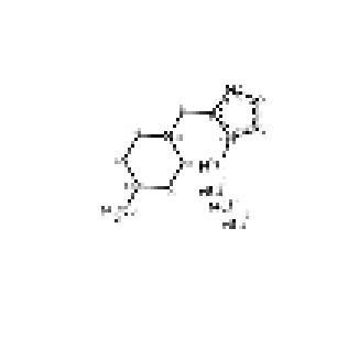 Cl.Cl.Cl.Cn1ccnc1CN1CCC(N)CC1